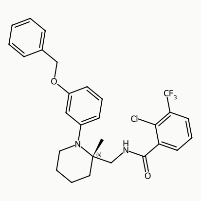 C[C@@]1(CNC(=O)c2cccc(C(F)(F)F)c2Cl)CCCCN1c1cccc(OCc2ccccc2)c1